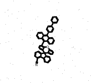 N#Cc1cccc2c1-c1ccccc1C21c2ccccc2Oc2c(-c3c4ccccc4c(-c4ccc(-c5ccccc5)cc4)c4ccccc34)cccc21